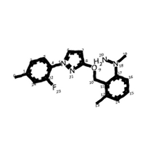 Cc1ccc(-n2ccc(OCc3c(C)cccc3N(C)N)n2)c(F)c1